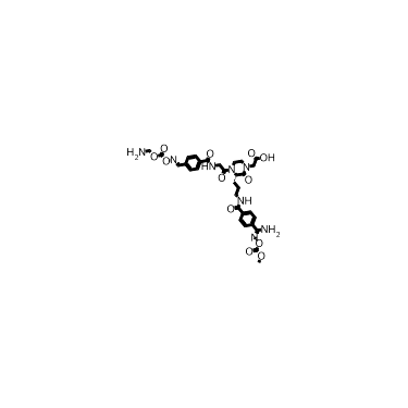 COC(=O)O/N=C(\N)c1ccc(C(=O)NCCC[C@H]2C(=O)N(CC(=O)O)CCN2C(=O)CNC(=O)c2ccc(/C=N/OC(=O)OCN)cc2)cc1